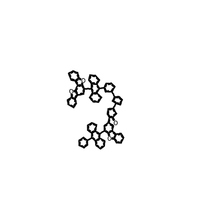 c1ccc(-c2c3ccccc3c(-c3cc4c5ccc(-c6cccc(-c7cccc(-c8c9ccccc9c(-c9cc%10c%11ccccc%11oc%10c%10c9oc9ccccc9%10)c9ccccc89)c7)c6)cc5oc4c4c3oc3ccccc34)c3ccccc23)cc1